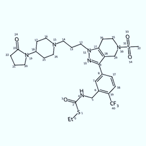 CCSC(=O)NCc1cc(-c2nn(CCCN3CCC(N4CCCC4=O)CC3)c3c2CN(S(C)(=O)=O)CC3)ccc1C(F)(F)F